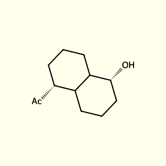 CC(=O)[C@@H]1CCCC2C1CCC[C@H]2O